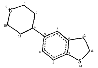 c1cc2c(cc1C1CC[N]CC1)CCS2